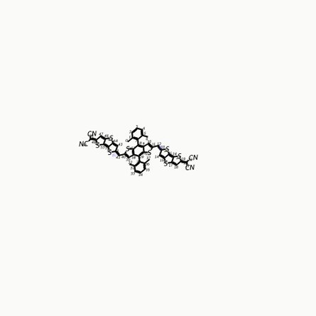 Cc1cccc(C)c1-c1c2cc(/C=c3\cc4sc5cc(=C(C#N)C#N)sc5c4s3)sc2c(-c2c(C)cccc2C)c2cc(/C=c3\cc4sc5cc(=C(C#N)C#N)sc5c4s3)sc12